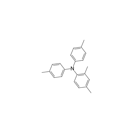 Cc1ccc(N(c2ccc(C)cc2)c2ccc(C)cc2C)cc1